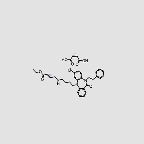 CCOC(=O)/C=C/CNCCCCN1c2ccccc2C(=O)N(CCc2ccccc2)c2ccc(Cl)cc21.O=C(O)/C=C\C(=O)O